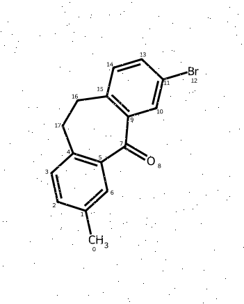 Cc1ccc2c(c1)C(=O)c1cc(Br)ccc1CC2